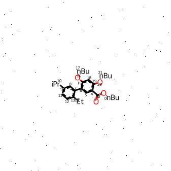 CCCCOC(=O)c1cc(-c2cc(C(C)C)ccc2CC)c(OCCCC)cc1OCCCC